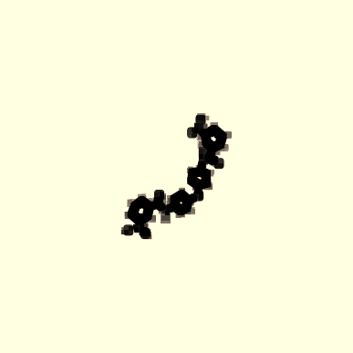 O=C(Nc1ccc(Oc2ccc(NC(=O)c3cccc([N+](=O)[O-])c3)cc2)cc1)c1cccc([N+](=O)[O-])c1